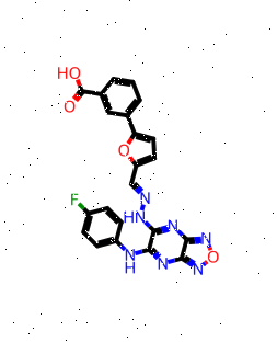 O=C(O)c1cccc(-c2ccc(C=NNc3nc4nonc4nc3Nc3ccc(F)cc3)o2)c1